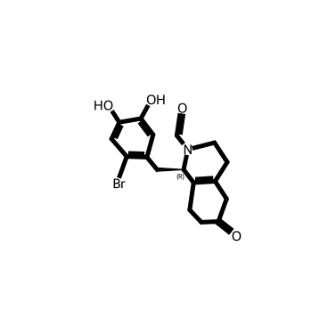 O=CN1CCC2=C(CCC(=O)C2)[C@H]1Cc1cc(O)c(O)cc1Br